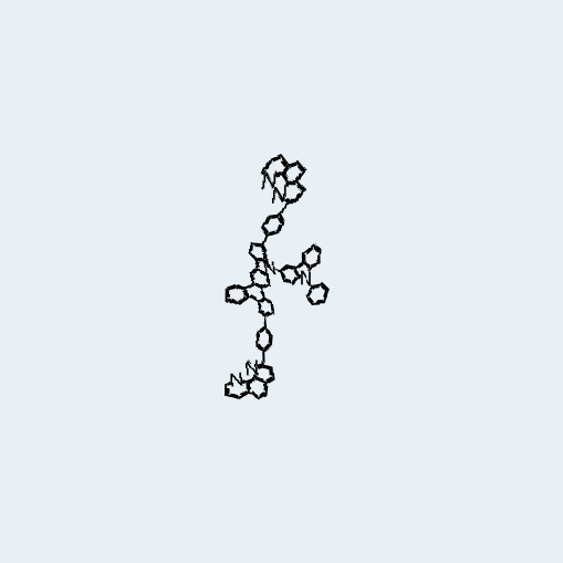 c1ccc(-n2c3ccccc3c3cc(-n4c5cc(-c6ccc(-c7ccc8ccc9cccnc9c8n7)cc6)ccc5c5cc6c7ccccc7c7cc(-c8ccc(-c9ccc%10ccc%11cccnc%11c%10n9)cc8)ccc7c6cc54)ccc32)cc1